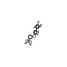 [CH2]c1cc(F)c(F)cc1-c1ccc(OC2CCCC(P(OCC)OCC)C2)c(C)n1